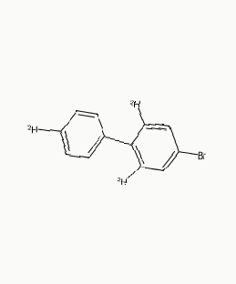 [2H]c1ccc(-c2c([2H])cc(Br)cc2[2H])cc1